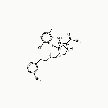 NC(=O)[C@H]1[C@@H]2C[C@@H](CNCCc3cccc(N)c3)[C@@H](C2)[C@H]1Nc1nc(Cl)ncc1F